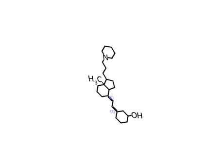 CC12CCC/C(=C\C=C3\CCCC(O)C3)C1CCC2CCCN1CCCCC1